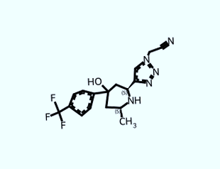 C[C@H]1CC(O)(c2ccc(C(F)(F)F)cc2)C[C@@H](c2cn(CC#N)nn2)N1